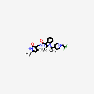 COc1cc(C)[nH]c(=O)c1CNC(=O)c1c(C)n([C@H](C)C2CCN(CC(F)F)CC2)c2ccccc12